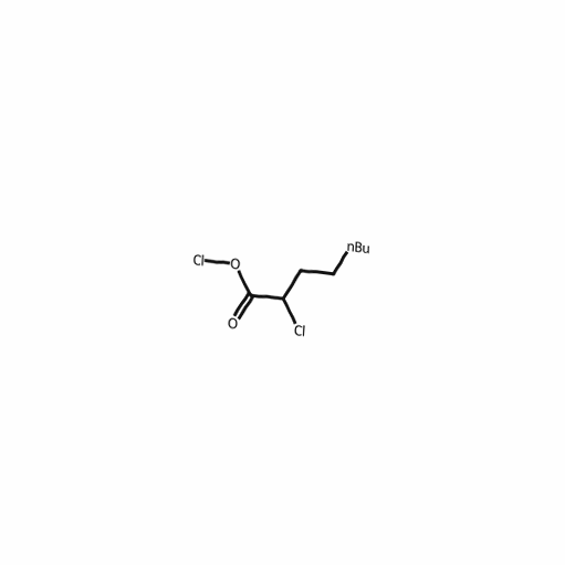 CCCCCCC(Cl)C(=O)OCl